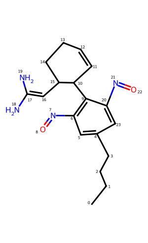 CCCCc1cc(N=O)c(C2C=CCCC2C=C(N)N)c(N=O)c1